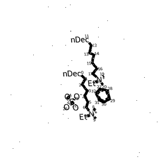 CCCCCCCCCCCCCCCC[N+](C)(C)CC.CCCCCCCCCCCCCCCC[N+](C)(C)CC.O=S(=O)([O-])[O-].c1ccccc1